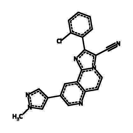 Cn1cc(-c2cnc3ccn4c(C#N)c(-c5ccccc5Cl)nc4c3c2)cn1